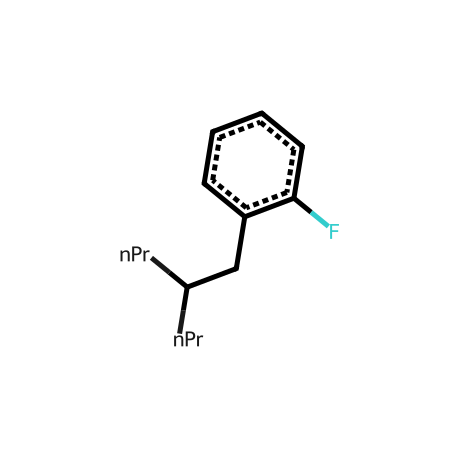 CCCC(CCC)Cc1ccccc1F